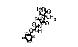 C=CC(C)(C(=O)O)N1C(=O)C(NC(=O)COc2ccccc2)C1F